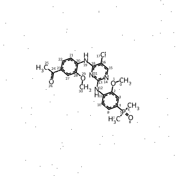 COc1cc(P(C)(C)=O)ccc1Nc1ncc(Cl)c(Nc2ccc(C(C)=O)cc2OC)n1